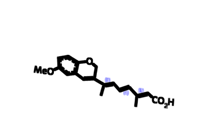 COc1ccc2c(c1)C=C(/C(C)=C/C=C/C(C)=C/C(=O)O)CO2